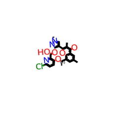 Cc1cc([C@@H](C)Oc2ccc(Cl)nc2C(=O)O)c2oc(-c3cnn(C)c3)c(C)c(=O)c2c1